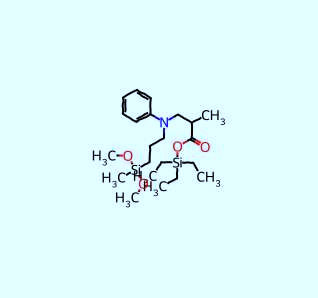 CC[Si](CC)(CC)OC(=O)C(C)CN(CCC[Si](C)(OC)OC)c1ccccc1